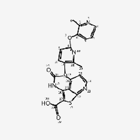 Cc1ncccc1Oc1ccc(N2C(=O)Nc3c(C(=O)O)sc4nccc2c34)c(C)n1